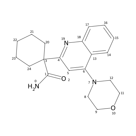 NC(=O)C1(c2cc(N3CCOCC3)c3ccccc3n2)CCCCC1